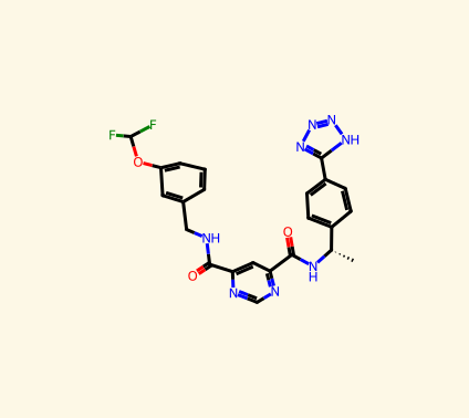 C[C@H](NC(=O)c1cc(C(=O)NCc2cccc(OC(F)F)c2)ncn1)c1ccc(-c2nnn[nH]2)cc1